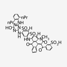 CCCc1cccc(CCC)c1Nc1nc(O)nc(Nc2cc(Nc3ccc4c5c3C(=O)c3ccccc3-c5c(C(=O)c3cccc(S(=O)(=O)O)c3)c(=O)n4C)c(S(=O)(=O)O)cc2S(=O)(=O)O)n1